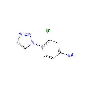 Nc1ccc(-n2ccnn2)c(Br)c1